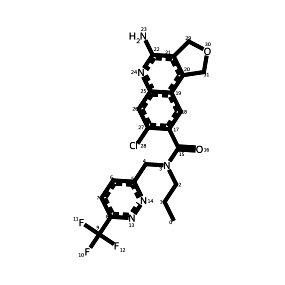 CCCN(Cc1ccc(C(F)(F)F)nn1)C(=O)c1cc2c3c(c(N)nc2cc1Cl)COC3